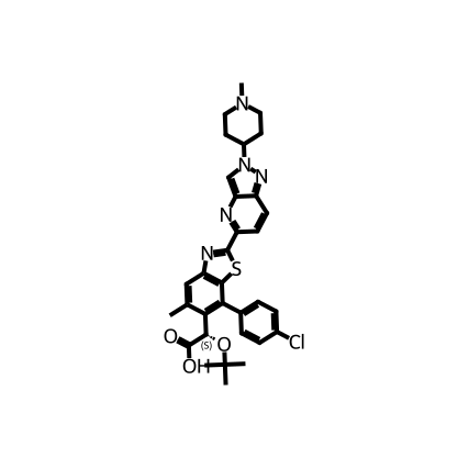 Cc1cc2nc(-c3ccc4nn(C5CCN(C)CC5)cc4n3)sc2c(-c2ccc(Cl)cc2)c1[C@H](OC(C)(C)C)C(=O)O